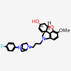 COc1ccc2c3c1O[C@H]1C[C@@H](O)C=C[C@@]31CCN(CCCN1CC3CC1CN3c1ccc(F)cc1)C2